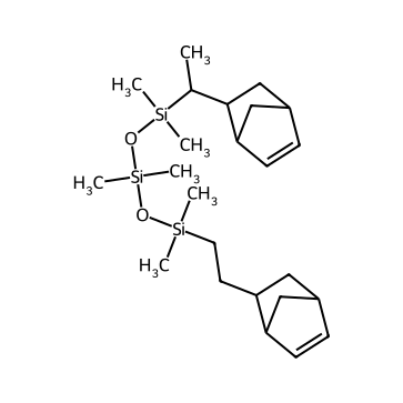 CC(C1CC2C=CC1C2)[Si](C)(C)O[Si](C)(C)O[Si](C)(C)CCC1CC2C=CC1C2